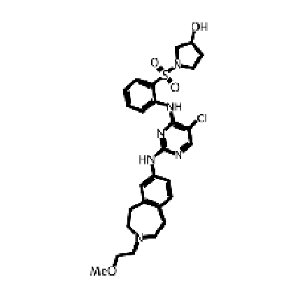 COCCN1CCc2ccc(Nc3ncc(Cl)c(Nc4ccccc4S(=O)(=O)N4CCC(O)C4)n3)cc2CC1